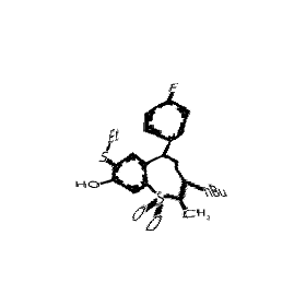 CCCCC1CC(c2ccc(F)cc2)c2cc(SCC)c(O)cc2S(=O)(=O)C1C